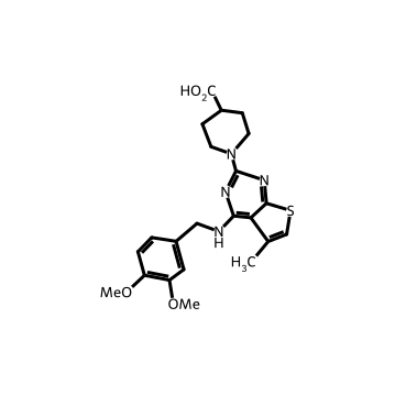 COc1ccc(CNc2nc(N3CCC(C(=O)O)CC3)nc3scc(C)c23)cc1OC